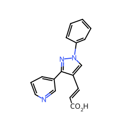 O=C(O)C=Cc1cn(-c2ccccc2)nc1-c1cccnc1